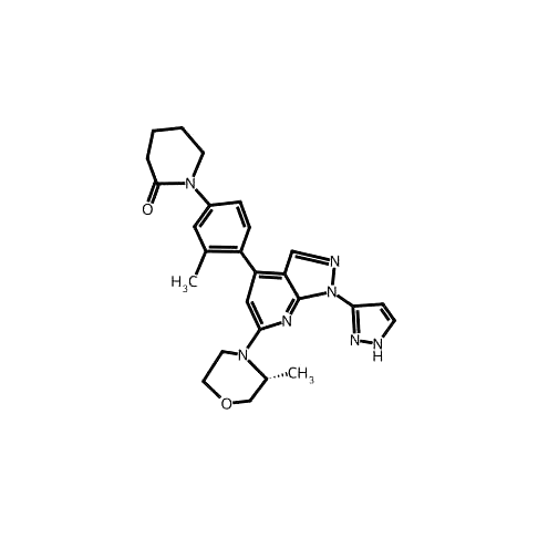 Cc1cc(N2CCCCC2=O)ccc1-c1cc(N2CCOC[C@H]2C)nc2c1cnn2-c1cc[nH]n1